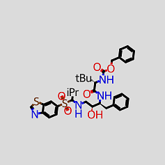 CC(C)C(NC[C@@H](O)[C@H](Cc1ccccc1)NC(=O)[C@@H](NC(=O)OCc1ccccc1)C(C)(C)C)S(=O)(=O)c1ccc2ncsc2c1